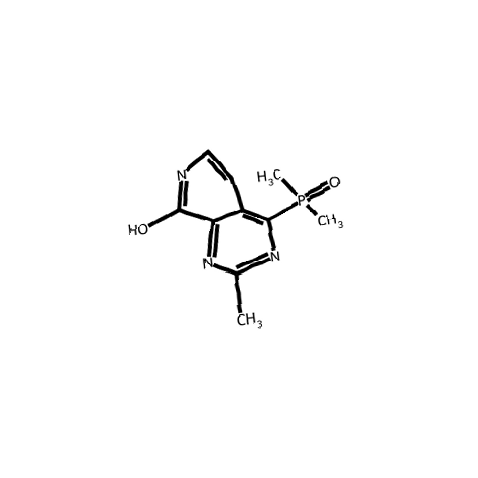 Cc1nc(P(C)(C)=O)c2ccnc(O)c2n1